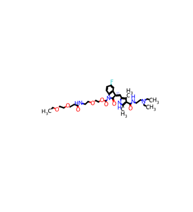 CCOCCOCCC(=O)NCCOCCOC(=O)N1C(=O)/C(=C\c2[nH]c(C)c(C(=O)NCCN(CC)CC)c2C)c2cc(F)ccc21